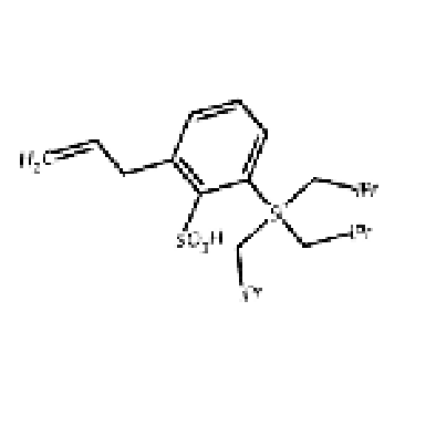 C=CCc1cccc([Si](CC(C)C)(CC(C)C)CC(C)C)c1S(=O)(=O)O